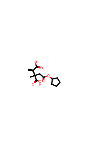 C=C(C(=O)O)C(C)(CC(=O)OC1CCCC1)C(=O)O